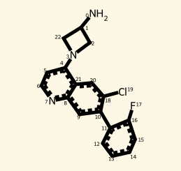 NC1CN(c2ccnc3cc(-c4ccccc4F)c(Cl)cc23)C1